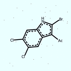 CC(=O)c1c(Br)[nH]c2cc(Cl)c(Cl)cc12